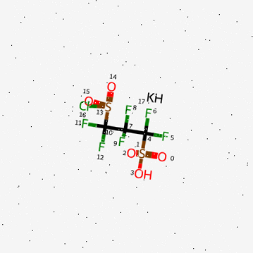 O=S(=O)(O)C(F)(F)C(F)(F)C(F)(F)S(=O)(=O)Cl.[KH]